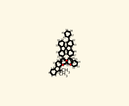 CC1(C)c2ccccc2-c2ccc(N(c3ccccc3)c3ccc4c(c3)C3(c5ccccc5-4)c4cc(-c5ccccc5)ccc4-c4ccc(N(c5ccccc5)c5ccccc5)cc43)cc21